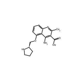 Cc1nc2cccc(OC[C@H]3CCCN3)c2c(N)c1C(=O)O